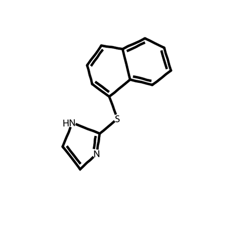 c1ccc2c(Sc3ncc[nH]3)cccc2c1